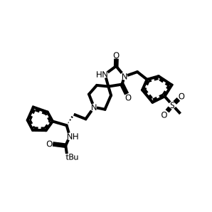 CC(C)(C)C(=O)N[C@@H](CCN1CCC2(CC1)NC(=O)N(Cc1ccc(S(C)(=O)=O)cc1)C2=O)c1ccccc1